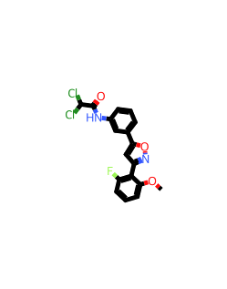 COc1cccc(F)c1-c1cc(-c2cccc(NC(=O)C(Cl)Cl)c2)on1